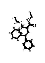 CCOC(=O)C(CC(c1ccccc1)C1CCCCC1)C(=O)OCC